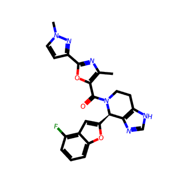 Cc1nc(-c2ccn(C)n2)oc1C(=O)N1CCc2[nH]cnc2[C@H]1c1cc2c(F)cccc2o1